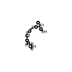 CC/C(=C(\c1ccc(O)cc1)c1ccc(OCCN2CCC(Oc3ccc(-c4ccc5c(c4)CN(C4CCC(=O)NC4=O)C5=O)cn3)C2)cc1)c1ccccc1